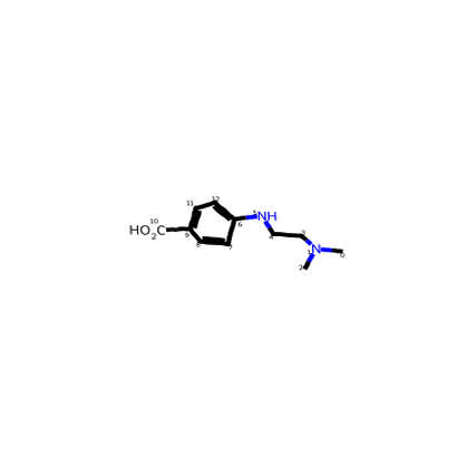 CN(C)CCNc1ccc(C(=O)O)cc1